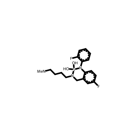 CNCCCCN1Cc2cc(F)ccc2N(c2ccccc2F)S1(O)O